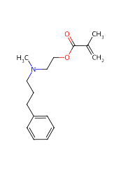 C=C(C)C(=O)OCCN(C)CCCc1ccccc1